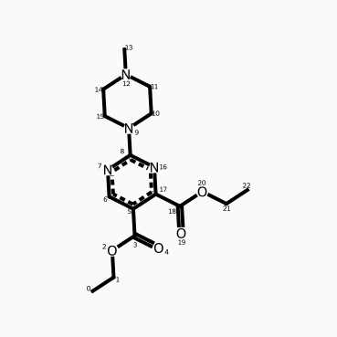 CCOC(=O)c1cnc(N2CCN(C)CC2)nc1C(=O)OCC